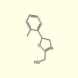 Cc1ccccc1C1CN=C(CO)O1